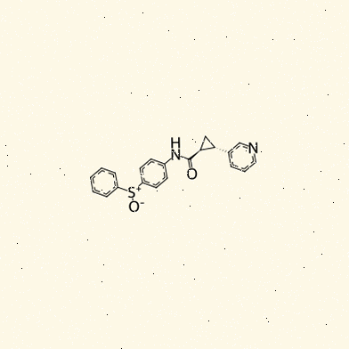 O=C(Nc1ccc([S+]([O-])c2ccccc2)cc1)[C@H]1C[C@@H]1c1cccnc1